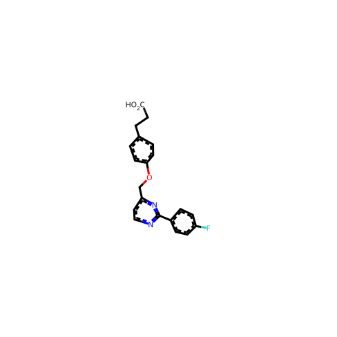 O=C(O)CCc1ccc(OCc2ccnc(-c3ccc(F)cc3)n2)cc1